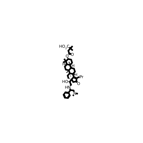 CC(C)C1=C2[C@H]3CC[C@@H]4[C@@]5(C)CC[C@H](OC(=O)CC(C)(C)C(=O)O)C(C)(C)[C@@H]5CC[C@@]4(C)[C@]3(C)CC[C@@]2([C@@H](O)CNC(CN(C)C)c2ccccc2)CC1=O